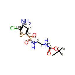 CC(C)(C)OC(=O)NCCNS(=O)(=O)c1cc(N)c(Cl)s1